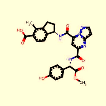 COC(=O)[C@@H](NC(=O)c1cc(C(=O)N[C@H]2CCc3c2ccc(C(=O)O)c3C)n2nccc2n1)c1ccc(O)cc1